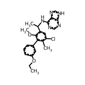 CCOc1cccc(-c2c(C)c(Cl)cc(C(C)Nc3ncnc4[nH]cnc34)c2OC)c1